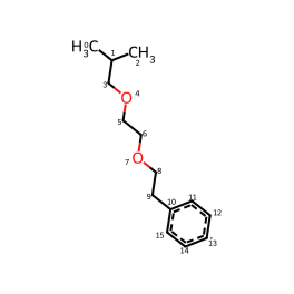 CC(C)COCCOCCc1cc[c]cc1